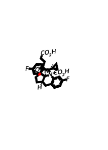 C[C@@H](c1ccc(F)cc1)[N@@+]1(C(=O)O)c2cc(F)ccc2C[C@H]2CCC[C@]21N(C(=O)CCC(=O)O)C1CC1